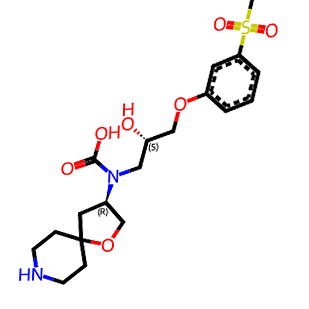 CS(=O)(=O)c1cccc(OC[C@@H](O)CN(C(=O)O)[C@H]2COC3(CCNCC3)C2)c1